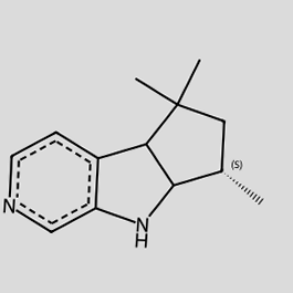 C[C@H]1CC(C)(C)C2c3ccncc3NC21